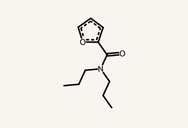 CCCN(CCC)C(=O)c1ccco1